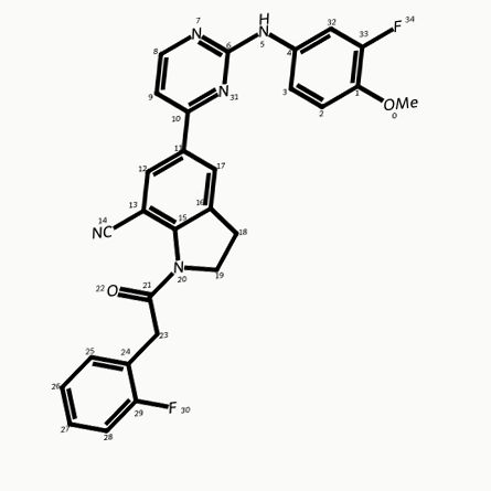 COc1ccc(Nc2nccc(-c3cc(C#N)c4c(c3)CCN4C(=O)Cc3ccccc3F)n2)cc1F